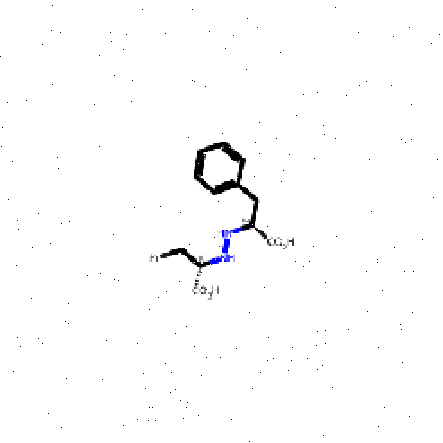 CC(C)C[C@H](NN[C@@H](Cc1ccccc1)C(=O)O)C(=O)O